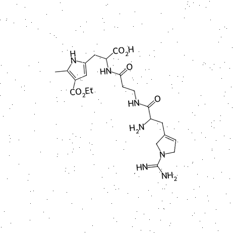 CCOC(=O)c1cc(CC(NC(=O)CCNC(=O)C(N)CC2=CCN(C(=N)N)C2)C(=O)O)[nH]c1C